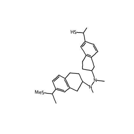 CSC(C)c1ccc2c(c1)CC(N(C)N(C)C1CCc3cc(C(C)S)ccc3C1)CC2